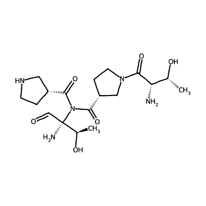 C[C@@H](O)[C@H](N)C(=O)N1CC[C@@H](C(=O)N(C(=O)[C@@H]2CCNC2)[C@](N)(C=O)[C@@H](C)O)C1